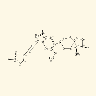 C[C@@H]1OCC2(CCN(c3nc4[nH]nc(C#Cc5ccn(C)n5)c4nc3CO)CC2)[C@@H]1N